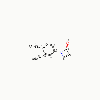 COc1ccc(N2C=CC2=O)cc1OC